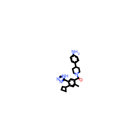 Cc1cc(C2CCC2)c(-c2nnc[nH]2)cc1C(=O)N1CCC(c2ccc(N)cc2)CC1